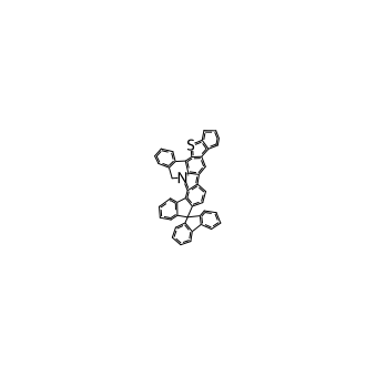 c1ccc2c(c1)Cn1c3c4c(ccc3c3cc5c(sc6ccccc65)c-2c31)C1(c2ccccc2-c2ccccc21)c1ccccc1-4